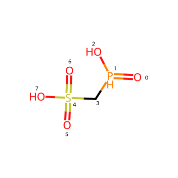 O=[PH](O)CS(=O)(=O)O